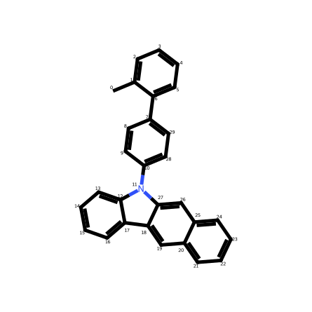 Cc1ccccc1-c1ccc(-n2c3ccccc3c3cc4ccccc4cc32)cc1